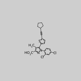 Cc1c(C(=O)O)nn(-c2ccc(Cl)cc2Cl)c1-c1ccc(C#CC2CCCC2)s1